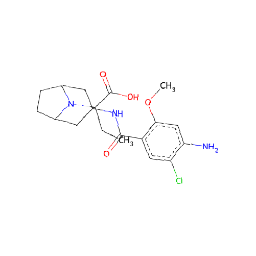 CCC(C(=O)O)N1C2CCC1CC(NC(=O)c1cc(Cl)c(N)cc1OC)C2